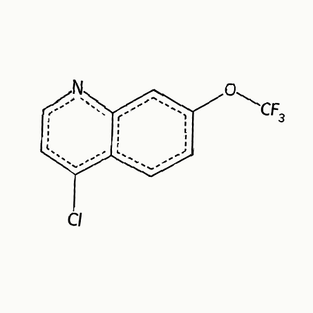 FC(F)(F)Oc1ccc2c(Cl)ccnc2c1